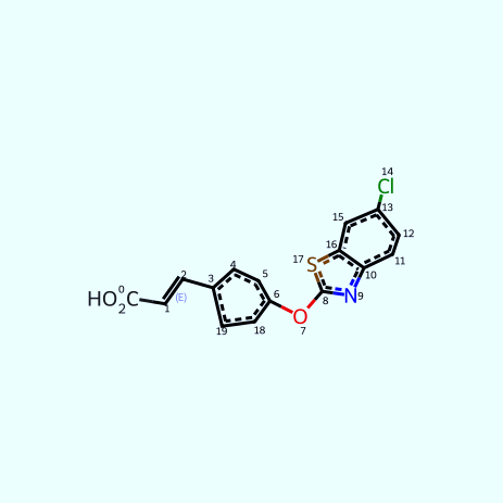 O=C(O)/C=C/c1ccc(Oc2nc3ccc(Cl)cc3s2)cc1